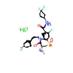 Cl.N[C@H]1CS(=O)(=O)c2cc(F)c(C(=O)NC3CC(F)(F)C3)cc2N(Cc2ccc(Cl)cc2)C1=O